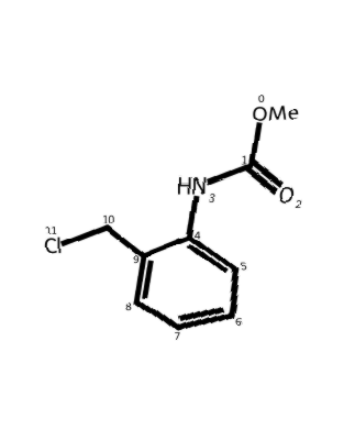 COC(=O)Nc1ccccc1CCl